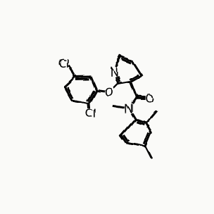 Cc1ccc(N(C)C(=O)c2cccnc2Oc2cc(Cl)ccc2Cl)c(C)c1